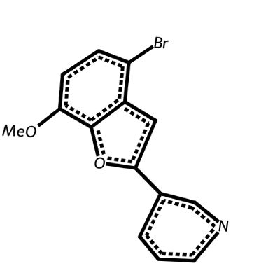 COc1ccc(Br)c2cc(-c3cccnc3)oc12